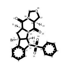 O=C1[C@@H]2C[C@]3(Br)c4ccccc4N(S(=O)(=O)c4ccccc4)[C@@H]3N2C(=O)[C@@H]2COCN12